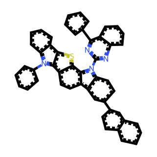 c1ccc(-c2nc(-n3c4ccc(-c5ccc6ccccc6c5)cc4c4ccc5c(sc6c7ccccc7n(-c7ccccc7)c56)c43)nc3ccccc23)cc1